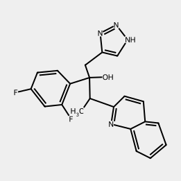 CC(c1ccc2ccccc2n1)C(O)(Cc1c[nH]nn1)c1ccc(F)cc1F